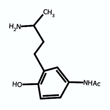 CC(=O)Nc1ccc(O)c(CCC(C)N)c1